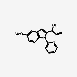 C=CC(O)c1cc2cc(OC)ccc2n1-c1ccccn1